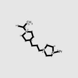 CC(C)N1CCN(CCCC2CCN(C(C)I)CC2)CC1